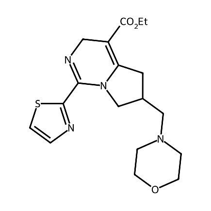 CCOC(=O)C1=C2CC(CN3CCOCC3)CN2C(c2nccs2)=NC1